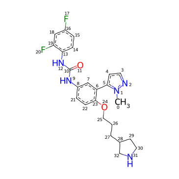 Cn1nccc1-c1cc(NC(=O)Nc2ccc(F)cc2F)ccc1OCCCC1CCNC1